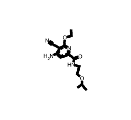 CCOc1nc(C(=O)NCCOC(C)C)cc(N)c1C#N